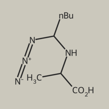 CCCCC(N=[N+]=[N-])NC(C)C(=O)O